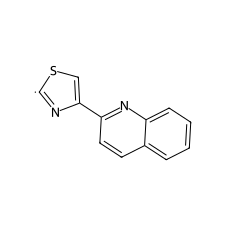 [c]1nc(-c2ccc3ccccc3n2)cs1